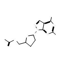 CC(=O)OCC1CC[C@H](n2ncc3c(Cl)nc(Cl)nc32)O1